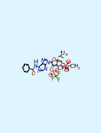 CC[C@@]1(COS(C)(=O)=O)O[C@@H](n2cnc3c(NC(=O)c4ccccc4)ncnc32)[C@@H](OS(=O)(=O)C(F)(F)F)[C@@H]1C